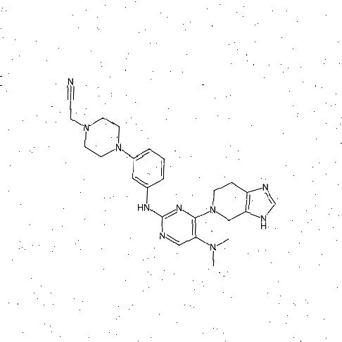 CN(C)c1cnc(Nc2cccc(N3CCN(CC#N)CC3)c2)nc1N1CCc2nc[nH]c2C1